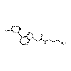 O=C(O)CCCNC(=O)Cn1cnc2c(-c3cccc(Cl)c3)ccnc21